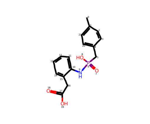 Cc1ccc(CP(=O)(O)Nc2ccccc2CC(=O)O)cc1